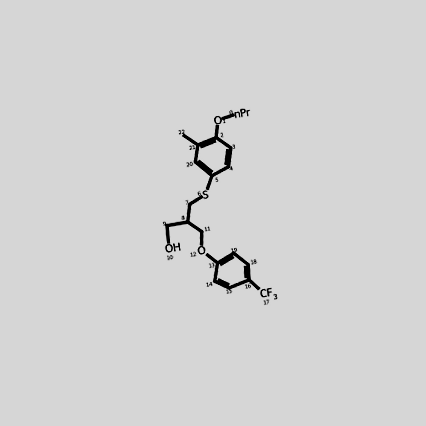 CCCOc1ccc(SCC(CO)COc2ccc(C(F)(F)F)cc2)cc1C